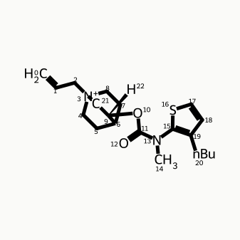 C=CC[N+]12CCC(CC1)[C@@H](OC(=O)N(C)c1sccc1CCCC)C2